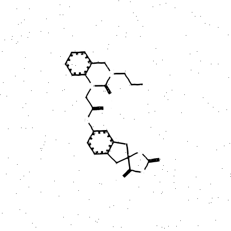 CC(C)(C)CCN1Cc2ccccc2N(CC(=O)Nc2ccc3c(c2)CC2(C3)NC(=O)NC2=O)C1=O